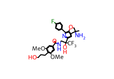 COc1cc(C(=O)NCC(O)(c2cc3c(c(-c4ccc(F)cc4)n2)OCC3(C)N)C(F)(F)F)cc(OC)c1CCCO